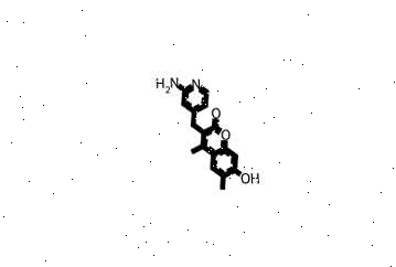 Cc1cc2c(C)c(Cc3ccnc(N)c3)c(=O)oc2cc1O